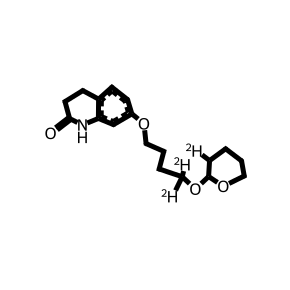 [2H]C1CCCOC1OC([2H])([2H])CCCOc1ccc2c(c1)NC(=O)CC2